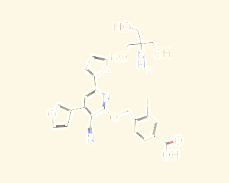 N#Cc1c(-c2ccoc2)cc(-c2cccs2)nc1OCc1ccc(C(=O)O)cc1I.NC(CO)(CO)CO